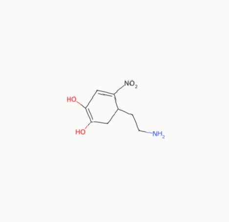 NCCC1CC(O)=C(O)C=C1[N+](=O)[O-]